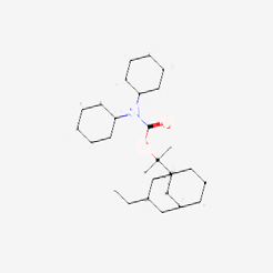 CCC1CC2CCCC(C(C)(C)OC(=O)N(C3CCCCC3)C3CCCCC3)(C1)C2